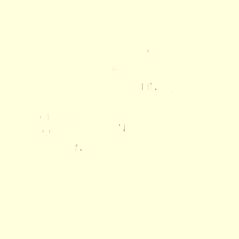 COC(=O)CNC(=O)C(c1ccccc1)C1CCN(c2ccc(NC(=O)c3ccccc3-c3ccc(C(F)(F)F)cc3)cc2)CC1